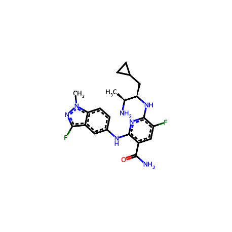 C[C@H](N)[C@@H](CC1CC1)Nc1nc(Nc2ccc3c(c2)c(F)nn3C)c(C(N)=O)cc1F